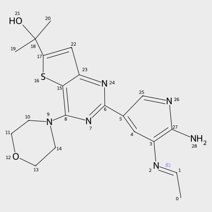 C/C=N/c1cc(-c2nc(N3CCOCC3)c3sc(C(C)(C)O)cc3n2)cnc1N